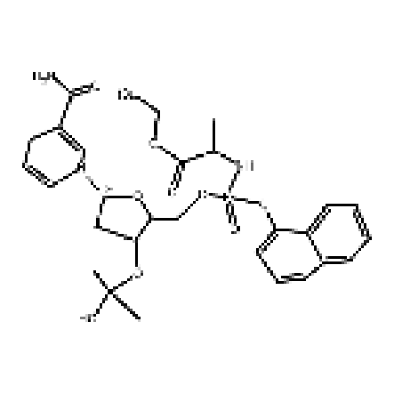 CC(NP(=O)(OCC1O[C@@H](N2C=CCC(C(N)=O)=C2)CC1OC(C)(C)O)Oc1cccc2ccccc12)C(=O)OCC(C)(C)C